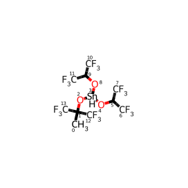 CC([O][SnH]([O]C(C(F)(F)F)C(F)(F)F)[O]C(C(F)(F)F)C(F)(F)F)(C(F)(F)F)C(F)(F)F